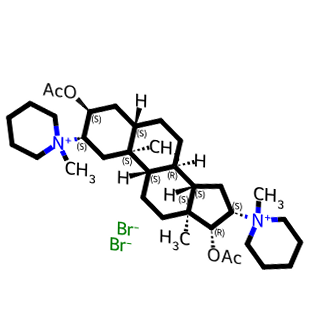 CC(=O)O[C@H]1C[C@@H]2CC[C@@H]3[C@H](CC[C@@]4(C)[C@H]3C[C@H]([N+]3(C)CCCCC3)[C@@H]4OC(C)=O)[C@@]2(C)C[C@@H]1[N+]1(C)CCCCC1.[Br-].[Br-]